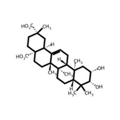 CC1(C)[C@@H](O)[C@@H](O)C[C@]2(C)[C@H]3CC=C4[C@@H]5C[C@@](C)(C(=O)O)CC[C@]5(C(=O)O)CC[C@@]4(C)[C@]3(C)CC[C@@H]12